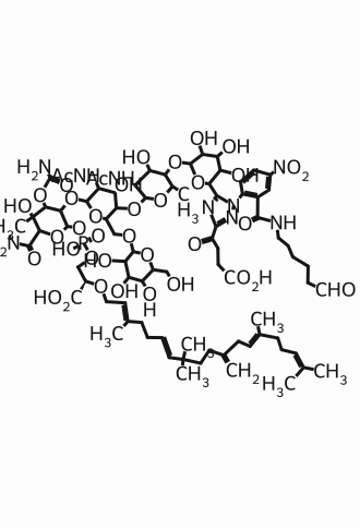 C=C(C/C=C(\C)CCC=C(C)C)CCC(C)(C)/C=C/CC/C(C)=C/CO[C@H](COP(=O)(O)OC1OC(C(N)=O)C(C)(O)C(OC(N)=O)C1OC1OC(COC2OC(CO)C(O)C(O)C2O)C(OC2OC(C)C(OC3OC(c4nc(C(=O)CCC(=O)O)nn4-c4ccc([N+](=O)[O-])cc4C(=O)NCCCCCC=O)C(O)C(O)C3O)C(O)C2NC(C)=O)C(O)C1NC(C)=O)C(=O)O